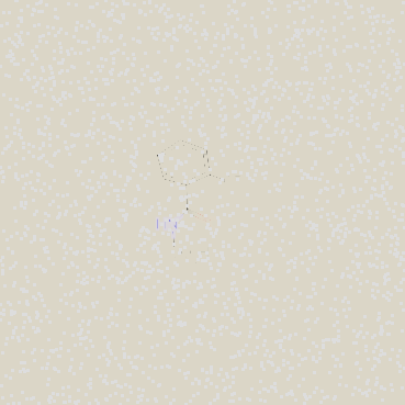 O=C(O)NC(=O)c1ccccc1C(F)(F)F